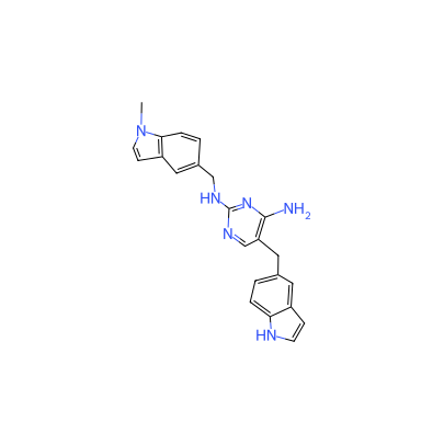 Cn1ccc2cc(CNc3ncc(Cc4ccc5[nH]ccc5c4)c(N)n3)ccc21